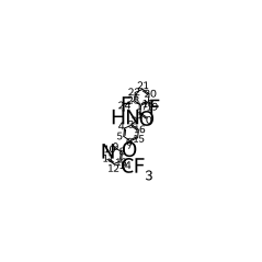 O=C(Nc1ccc(Oc2cnccc2C(F)(F)F)cc1)c1c(F)cccc1F